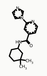 CC1(C)CCCC(NC(=O)c2ccnc(-n3ccnc3)c2)C1